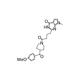 COc1ccc(C(=O)C2CCN(C(=O)CCCc3nc4c(ccn4C)c(=O)[nH]3)CC2)cc1